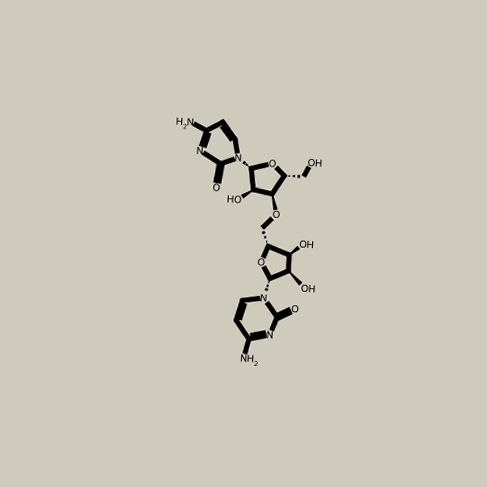 Nc1ccn([C@@H]2O[C@H](CO[C@H]3[C@@H](O)[C@H](n4ccc(N)nc4=O)O[C@@H]3CO)[C@@H](O)[C@H]2O)c(=O)n1